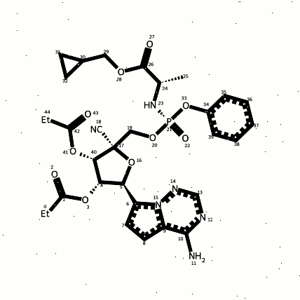 CCC(=O)O[C@H]1[C@H](c2ccc3c(N)ncnn23)O[C@](C#N)(CO[P@@](=O)(N[C@@H](C)C(=O)OCC2CC2)Oc2ccccc2)[C@H]1OC(=O)CC